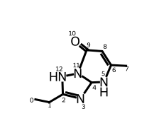 CCC1=NC2NC(C)=CC(=O)N2N1